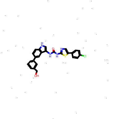 O=C(Nc1ncc(-c2ccc(Cl)cc2)s1)Nc1c[nH]c2ccc(-c3cccc(CO)c3)cc12